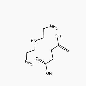 NCCNCCN.O=C(O)CCC(=O)O